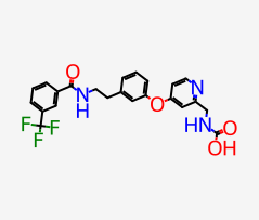 O=C(O)NCc1cc(Oc2cccc(CCNC(=O)c3cccc(C(F)(F)F)c3)c2)ccn1